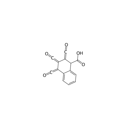 O=C=C1C(=C=O)c2ccccc2C(C(=O)O)C1=C=O